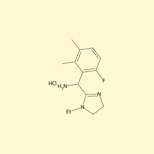 CCN1CCN=C1C(N)c1c(F)ccc(C)c1C.Cl